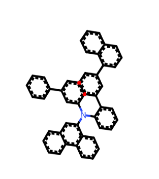 c1ccc(-c2cccc(N(c3ccccc3-c3cccc(-c4cccc5ccccc45)c3)c3cc4ccccc4c4ccccc34)c2)cc1